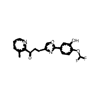 Cc1cccnc1C(=O)CCc1coc(-c2ccc(OC(F)F)c(O)c2)n1